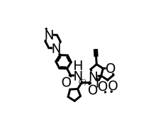 C#CC1CN(C(=O)[C@@H](NC(=O)c2ccc(N3CCN(C)CC3)cc2)C2CCCC2)C2(I)C1OCC2(OC)OC